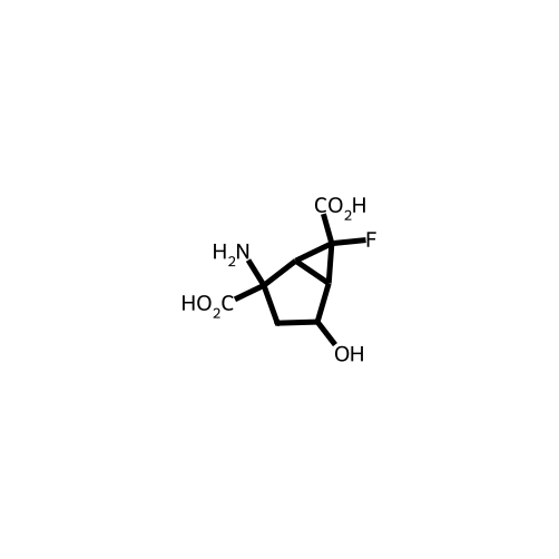 NC1(C(=O)O)CC(O)C2C1C2(F)C(=O)O